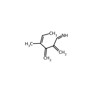 C=C(C=N)C(=C)/C(C)=C\C